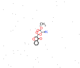 CCOC(=O)C(C#N)OC(=O)c1coc2ccccc2c1=O